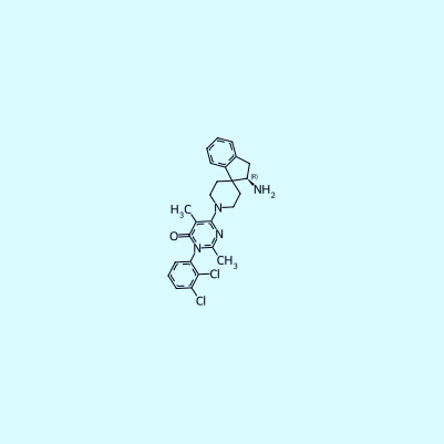 Cc1c(N2CCC3(CC2)c2ccccc2C[C@H]3N)nc(C)n(-c2cccc(Cl)c2Cl)c1=O